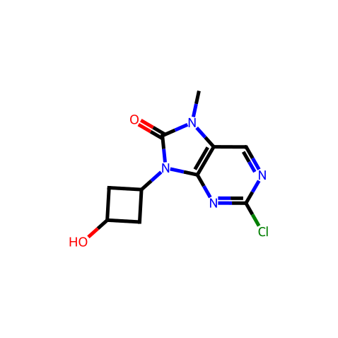 Cn1c(=O)n(C2CC(O)C2)c2nc(Cl)ncc21